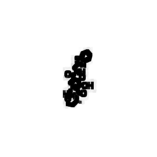 C[C@@H]1CCO[C@H]2Cn3cc(C(=O)NCc4nc5ccccc5s4)c(=O)c(O)c3C(=O)N12